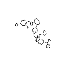 CCC(=O)c1ccc2nc(CN3CCC(c4ccccc4OCc4ccc(Cl)cc4F)CC3)n(C[C@@H]3CCO3)c2c1